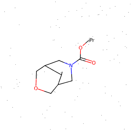 CC(C)OC(=O)N1CC2COCC(C1)C2C